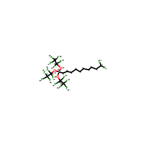 FC(F)CCCCCCCCC[Si](OC(F)(F)C(F)(F)F)(OC(F)(F)C(F)(F)F)OC(F)(F)C(F)(F)F